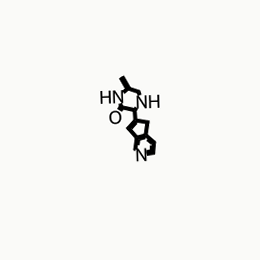 C=C1CNC(C2=Cc3cnccc3C2)C(=O)N1